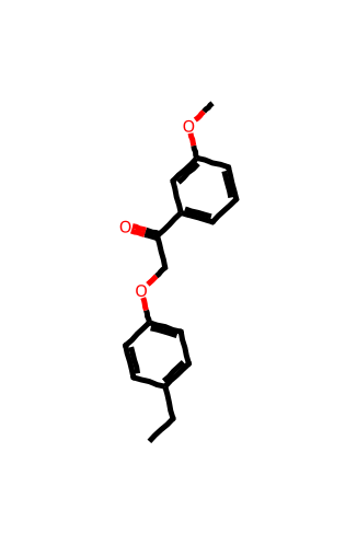 CCc1ccc(OCC(=O)c2cccc(OC)c2)cc1